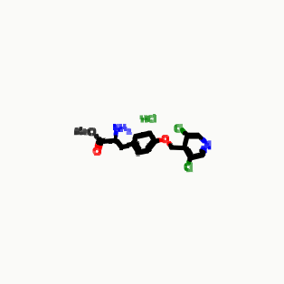 COC(=O)[C@@H](N)Cc1ccc(OCc2c(Cl)cncc2Cl)cc1.Cl